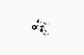 C[C@@H](C(N)=O)N(C(=O)[C@H](Cc1ccccc1)NS(=O)(=O)N1CC[N+](C)([O-])CC1)c1nccs1